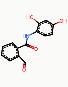 O=Cc1ccccc1C(=O)Nc1ccc(O)cc1O